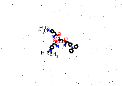 CCN(CC)c1ccc(/C=C(\C#N)C(=O)OCC(C)(COC(=O)/C(C#N)=C/c2ccc(N(CC)CC)cc2)COC(=O)/C(C#N)=C/c2ccc(N(c3ccccc3)c3ccccc3)cc2)cc1